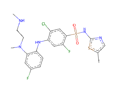 CNCCN(C)c1cc(F)ccc1Nc1cc(F)c(S(=O)(=O)Nc2ncc(C)s2)cc1Cl